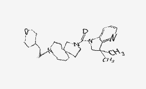 CC1(C)CN(C(=O)N2CCC3(CCN(CC4CCOCC4)CC3)C2)c2cccnc21